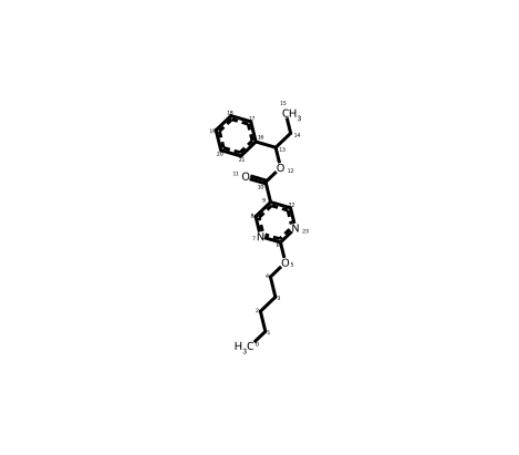 CCCCCOc1ncc(C(=O)OC(CC)c2ccccc2)cn1